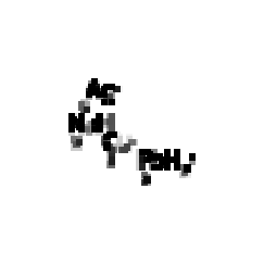 [Ag].[Cu].[NaH].[PbH2]